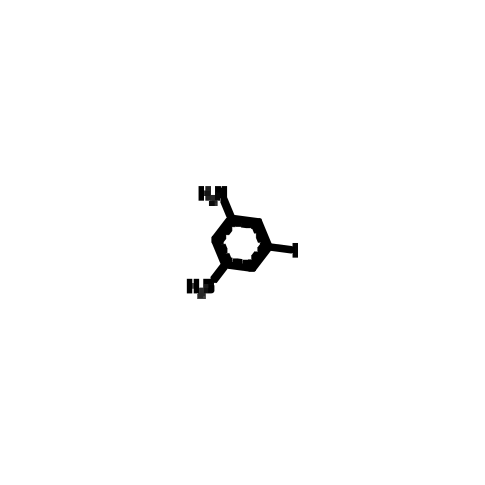 Bc1cc(N)cc(I)c1